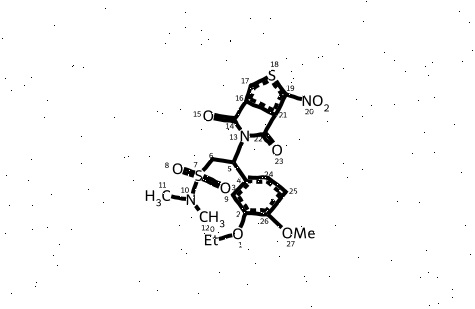 CCOc1cc(C(CS(=O)(=O)N(C)C)N2C(=O)c3csc([N+](=O)[O-])c3C2=O)ccc1OC